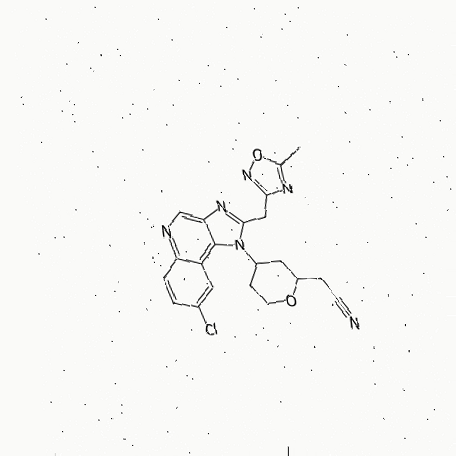 Cc1nc(Cc2nc3cnc4ccc(Cl)cc4c3n2C2CCOC(CC#N)C2)no1